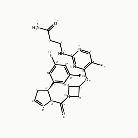 NC(=O)CCNc1ncc(F)c(OC2CN(C(=O)N3N=CC[C@H]3c3cc(F)cc(F)c3)C2)n1